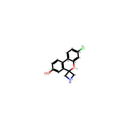 Oc1ccc2c(c1)C1(CNC1)Oc1cc(Cl)ccc1-2